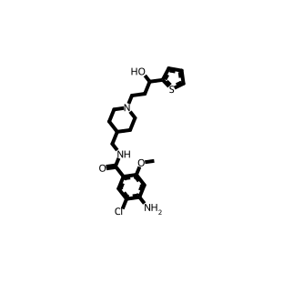 COc1cc(N)c(Cl)cc1C(=O)NCC1CCN(CCC(O)c2cccs2)CC1